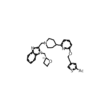 CC(=O)c1cc(COc2cccc(C3CCN(Cc4nc5ccccc5n4C[C@@H]4CCO4)CC3)n2)cs1